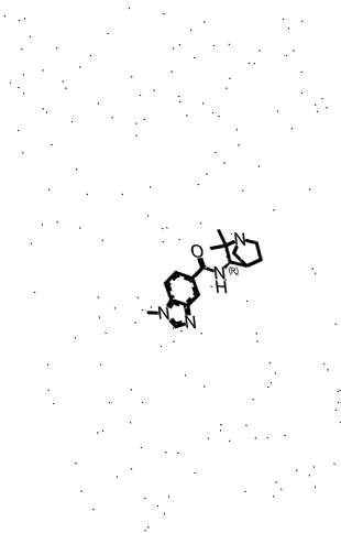 Cn1cnc2cc(C(=O)N[C@@H]3C4CCN(C4)C3(C)C)ccc21